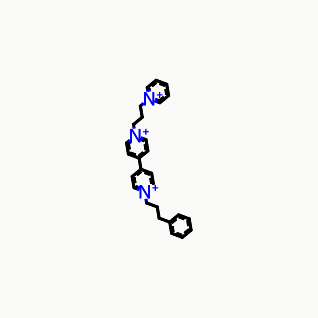 c1ccc(CCC[n+]2ccc(-c3cc[n+](CCC[n+]4ccccc4)cc3)cc2)cc1